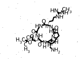 CNC(=N)NCCC[C@@H]1NC(=O)[C@@H]2CC[C@H]3C[C@@H](CN)[C@@H](NC(=O)[C@H](CC(=O)OC(C)(C)C)NC(=O)CNC1=O)C(=O)N32